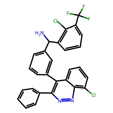 NC(c1cccc(-c2c(-c3ccccc3)nnc3c(Cl)cccc23)c1)c1cccc(C(F)(F)F)c1Cl